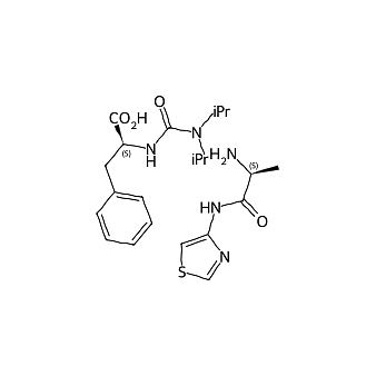 CC(C)N(C(=O)N[C@@H](Cc1ccccc1)C(=O)O)C(C)C.C[C@H](N)C(=O)Nc1cscn1